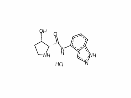 Cl.O=C(Nc1cccc2[nH]ncc12)[C@@H]1NCC[C@@H]1O